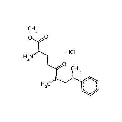 COC(=O)C(N)CCC(=O)N(C)CC(C)c1ccccc1.Cl